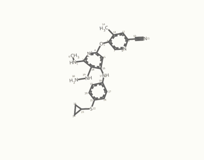 CNc1nc(Oc2cnc(C#N)cc2C)cc(Nc2ccc(SC3CC3)cc2)c1NN